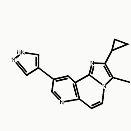 Cc1c(C2CC2)nc2c3cc(-c4cn[nH]c4)cnc3ccn12